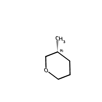 C[C@@H]1CCCOC1